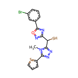 Cn1c(-c2cccs2)nnc1C(S)c1noc(-c2cccc(Br)c2)n1